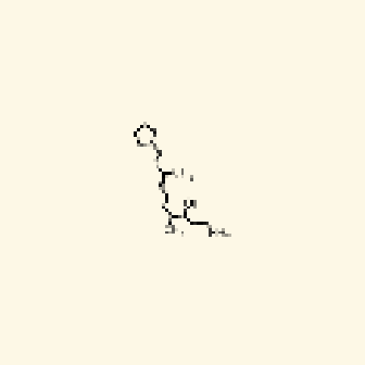 C/C(=C\CCC(C)C(O)CCN)OCC1CCCC1